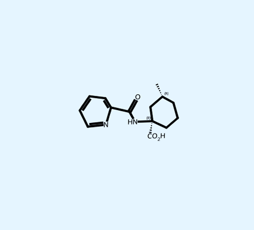 C[C@@H]1CCC[C@](NC(=O)c2ccccn2)(C(=O)O)C1